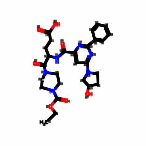 CCOC(=O)N1CCN(C(=O)C(CCC(=O)O)NC(=O)c2cc(N3CCC(O)C3)nc(-c3ccccc3)n2)CC1